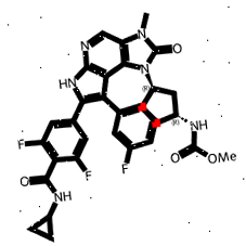 COC(=O)N[C@@H]1CC[C@@H](n2c(=O)n(C)c3cnc4[nH]c(-c5cc(F)c(C(=O)NC6CC6)c(F)c5)c(-c5cccc(F)c5)c4c32)C1